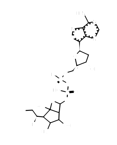 Nc1ncnc2c([C@H]3C[C@H](O)[C@@H](COP(=O)(S)OP(=O)(O)OC4OC5(O)C4C(O)C(O)C5[C@@H](F)CO)O3)snc12